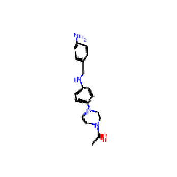 CC(=O)N1CCN(c2ccc(NCc3ccc(N)cc3)cc2)CC1